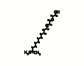 CC(C)CCCCCCCCCCOCCOCCO